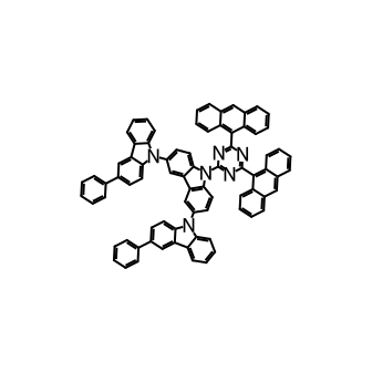 c1ccc(-c2ccc3c(c2)c2ccccc2n3-c2ccc3c(c2)c2cc(-n4c5ccccc5c5cc(-c6ccccc6)ccc54)ccc2n3-c2nc(-c3c4ccccc4cc4ccccc34)nc(-c3c4ccccc4cc4ccccc34)n2)cc1